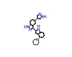 c1cc(N2CCCCC2)c2cc(-c3n[nH]c4ccc(-c5cn[nH]c5)cc34)[nH]c2c1